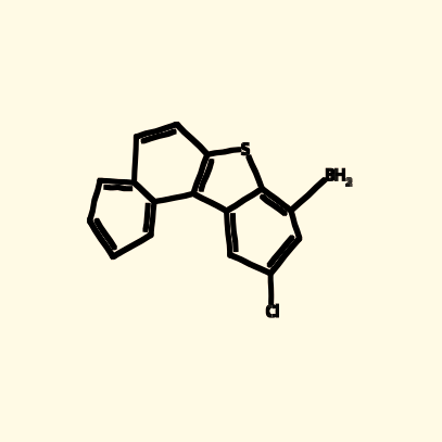 Bc1cc(Cl)cc2c1sc1ccc3ccccc3c12